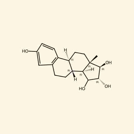 C[C@]12CC[C@@H]3c4ccc(O)cc4CC[C@H]3[C@@H]1C(O)[C@@H](O)[C@@H]2O